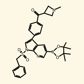 CN1CC(C(=O)c2ccc(-c3cn(S(=O)(=O)Cc4ccccc4)c4ncc(B5OC(C)(C)C(C)(C)O5)cc34)cc2)C1